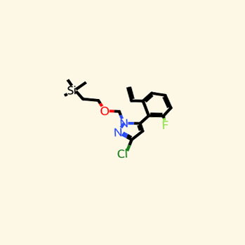 C=Cc1cccc(F)c1-c1cc(Cl)nn1COCC[Si](C)(C)C